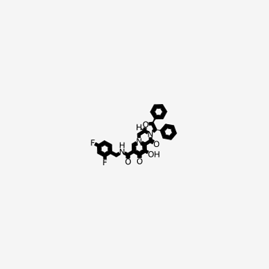 O=C(NCc1ccc(F)cc1F)c1cn2c(c(O)c1=O)C(=O)N1[C@@H](C2)O[C@@H](c2ccccc2)[C@@H]1c1ccccc1